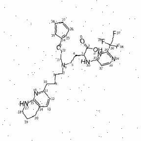 O=C(O)[C@H](CCN(CCCCc1ccc2c(n1)NCCC2)CCOc1ccccc1)Nc1ccnc(C(F)(F)F)n1